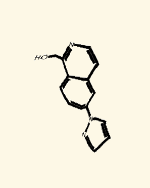 Oc1nccc2cc(-n3cccn3)ccc12